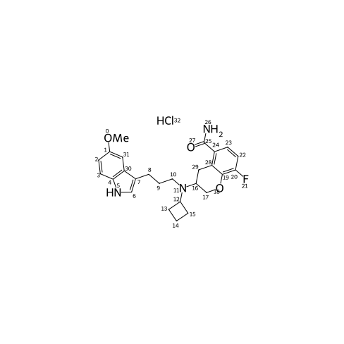 COc1ccc2[nH]cc(CCCN(C3CCC3)C3COc4c(F)ccc(C(N)=O)c4C3)c2c1.Cl